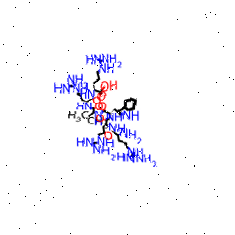 CC(C)[C@H](NC(=O)[C@H](Cc1c[nH]c2ccccc12)NC(=O)[C@H](CCCNC(=N)N)NC(=O)[C@@H](N)CCCNC(=N)N)C(=O)N[C@@H](CCCNC(=N)N)C(=O)N[C@@H](CCCNC(=N)N)C(=O)O